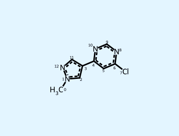 Cn1cc(-c2cc(Cl)ncn2)cn1